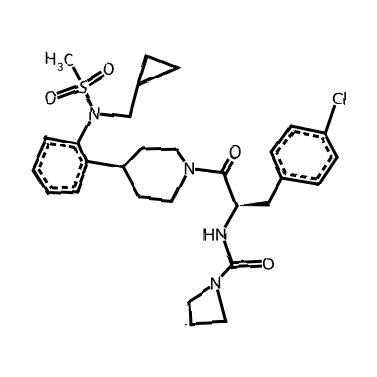 CS(=O)(=O)N(CC1CC1)c1ccccc1C1CCN(C(=O)[C@@H](Cc2ccc(Cl)cc2)NC(=O)N2C[CH]C2)CC1